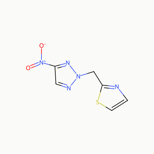 O=[N+]([O-])c1cnn(Cc2nccs2)n1